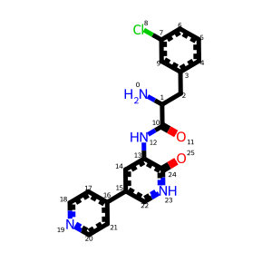 NC(Cc1cccc(Cl)c1)C(=O)Nc1cc(-c2ccncc2)c[nH]c1=O